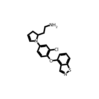 NCCC1CC=CN1c1ccc(Oc2cccc3sncc23)c(Cl)c1